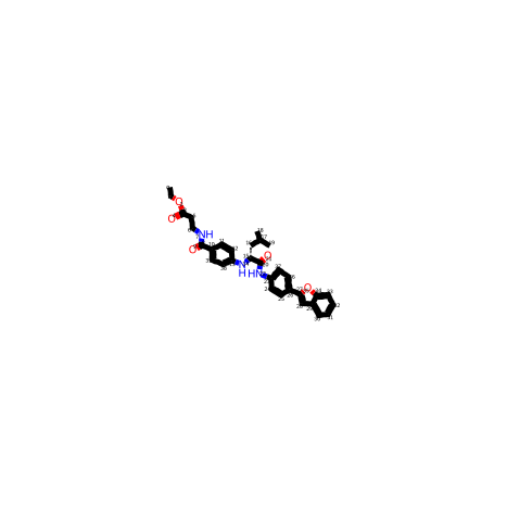 CCOC(=O)CCNC(=O)c1ccc(N[C@H](CC(C)C)C(=O)Nc2ccc(-c3cc4ccccc4o3)cc2)cc1